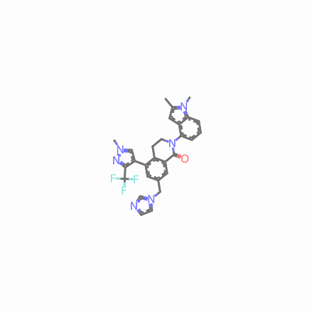 Cc1cc2c(N3CCc4c(cc(Cn5ccnc5)cc4-c4cn(C)nc4C(F)(F)F)C3=O)cccc2n1C